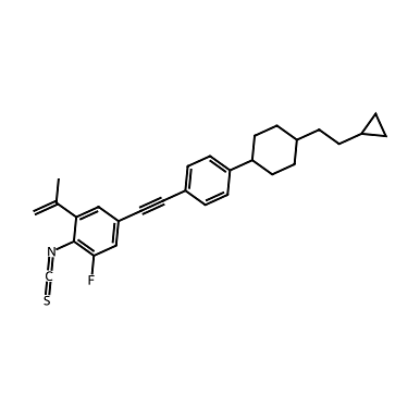 C=C(C)c1cc(C#Cc2ccc(C3CCC(CCC4CC4)CC3)cc2)cc(F)c1N=C=S